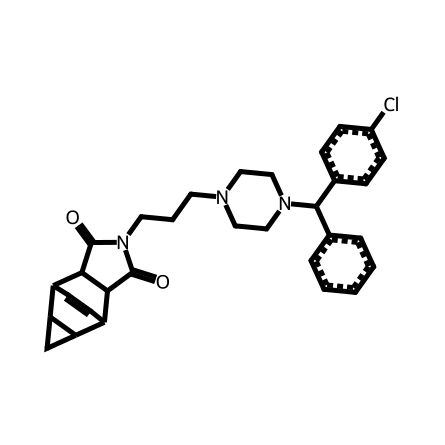 O=C1C2C3C=CC(C4CC34)C2C(=O)N1CCCN1CCN(C(c2ccccc2)c2ccc(Cl)cc2)CC1